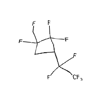 FC(F)(F)C(F)(F)C1CC(F)(F)C1(F)F